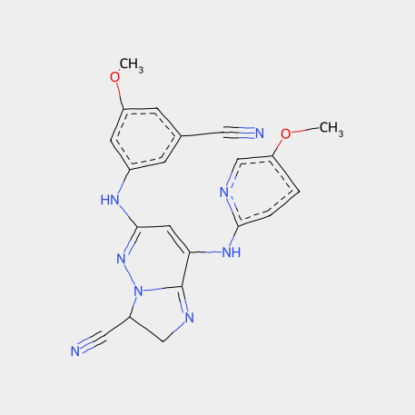 COc1ccc(NC2=CC(Nc3cc(C#N)cc(OC)c3)=NN3C2=NCC3C#N)nc1